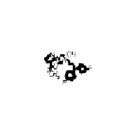 COC(=O)c1cccnc1N1CCN(CCCC(c2ccc(F)cc2)c2ccc(F)cc2)CC1.Cl